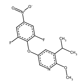 COc1ncc(Oc2c(F)cc([N+](=O)[O-])cc2F)cc1C(C)C